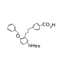 CCCCCCc1ccc(OCc2ccccc2)c(CCCc2ccc(C(=O)O)cc2)c1